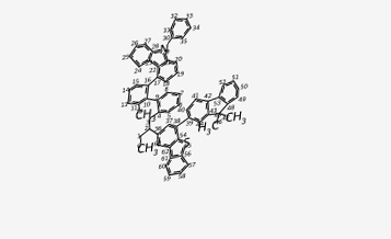 CCC(Cc1ccccc1-c1c(C)cccc1-c1cccc2c1c1ccccc1n2-c1ccccc1)c1cc(-c2ccc3c(c2)C(C)(C)c2ccccc2-3)c2sc3ccccc3c2c1